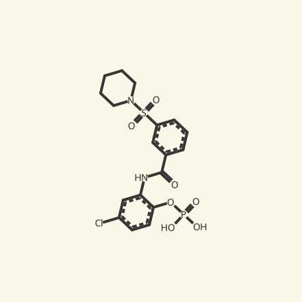 O=C(Nc1cc(Cl)ccc1OP(=O)(O)O)c1cccc(S(=O)(=O)N2CCCCC2)c1